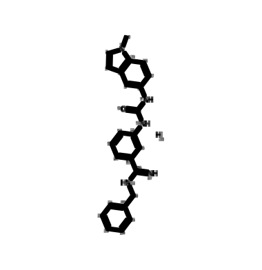 Cn1ccc2cc(NC(=O)Nc3cccc(C(=N)NCc4ccccc4)c3)ccc21.I